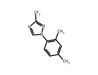 Cc1[c]cc(-n2cnc(C(F)(F)F)n2)c(C)c1